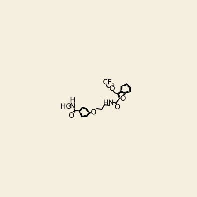 O=C(NO)c1ccc(OCCCCNC(=O)c2oc3ccccc3c2COCC(F)(F)F)cc1